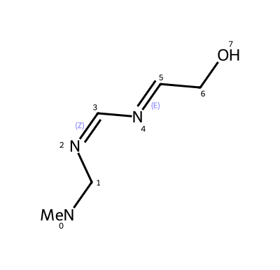 CNC/N=C\N=C\CO